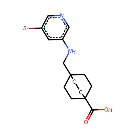 O=C(O)C12CCC(CNc3cncc(Br)c3)(CC1)CC2